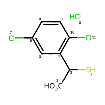 Cl.O=C(O)C(S)c1cc(Cl)ccc1Cl